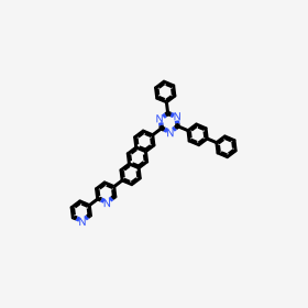 c1ccc(-c2ccc(-c3nc(-c4ccccc4)nc(-c4ccc5cc6cc(-c7ccc(-c8cccnc8)nc7)ccc6cc5c4)n3)cc2)cc1